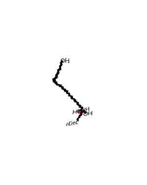 CCCCCCCCCCCCCC=CC(O)C(CO)NC(=O)CCCCCCCCCCCCCCCCCCCCC/C=C\CCCCCCCCO